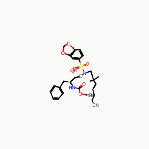 CC(C)(CCCCC#N)CN(C[C@@H](O)[C@H](Cc1ccccc1)NC(=O)OC(C)(C)C)S(=O)(=O)c1ccc2c(c1)OCO2